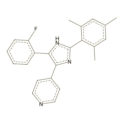 Cc1cc(C)c(-c2nc(-c3ccncc3)c(-c3ccccc3F)[nH]2)c(C)c1